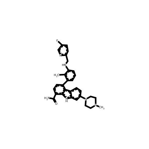 Cc1c(NCc2ccc(F)cn2)cccc1-c1ccc(C(N)=O)c2[nH]c3cc(N4CCN(C)CC4)ccc3c12